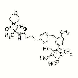 Cc1ccc([C@H]2[C@H](O)[C@H](O)[C@H](O)C[SH]2C)cc1Cc1ccc(CCCC(=O)NC(C)(C)C(=O)N2CCOCC2)cc1